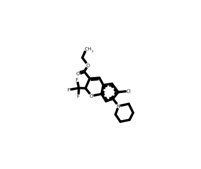 CCOC(=O)C1=Cc2cc(Cl)c(N3CCCCC3)cc2OC1C(F)(F)F